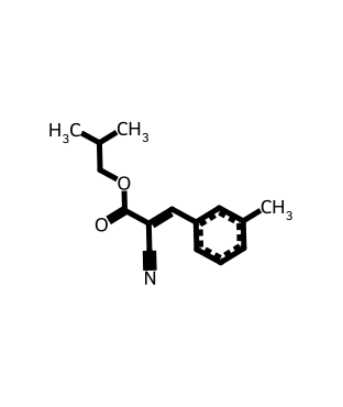 Cc1cccc(/C=C(\C#N)C(=O)OCC(C)C)c1